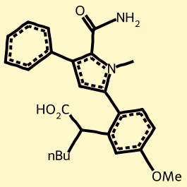 CCCCC(C(=O)O)c1cc(OC)ccc1-c1cc(-c2ccccc2)c(C(N)=O)n1C